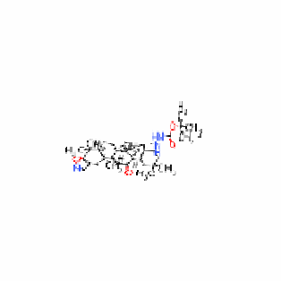 CC1(C)CC[C@]2(CNNC(=O)OC(C)(C)C)CC[C@]3(C)[C@H](C(=O)C=C4[C@@]5(C)Cc6cnoc6C(C)(C)[C@@H]5CC[C@]43C)[C@@H]2C1